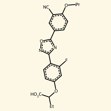 CCC(Oc1ccc(-c2noc(-c3ccc(OC(C)C)c(C#N)c3)n2)c(F)c1)C(=O)O